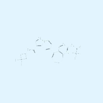 C[C@H](Nc1ncc2c(n1)CCCC=C2c1ccn2ncc(C(=O)NC3CC(F)(F)C3)c2c1)C(F)(F)F